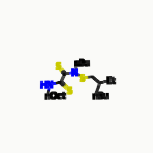 CCCCCCCCNC(=S)C(=S)N(CCCC)SCC(CC)CCCC